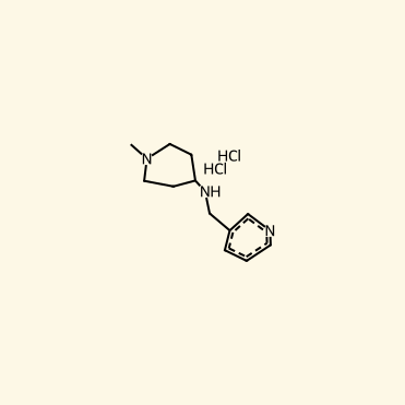 CN1CCC(NCc2cccnc2)CC1.Cl.Cl